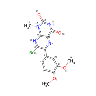 COc1ccc(-c2nc3c(=O)[nH]c(=O)n(C)c3nc2Br)cc1OC